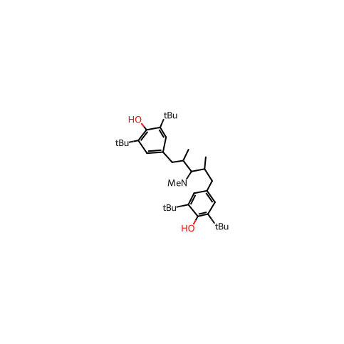 CNC(C(C)Cc1cc(C(C)(C)C)c(O)c(C(C)(C)C)c1)C(C)Cc1cc(C(C)(C)C)c(O)c(C(C)(C)C)c1